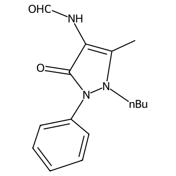 CCCCn1c(C)c(NC=O)c(=O)n1-c1ccccc1